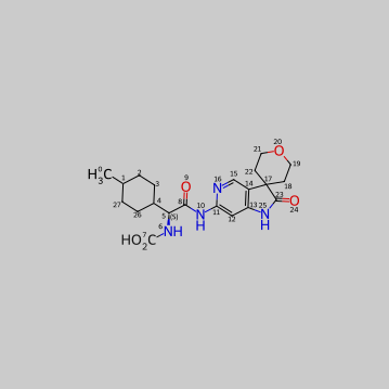 CC1CCC([C@H](NC(=O)O)C(=O)Nc2cc3c(cn2)C2(CCOCC2)C(=O)N3)CC1